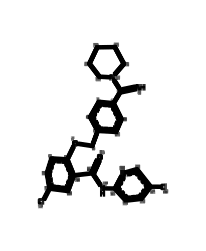 N=C(c1ccc(COc2ccc(Cl)cc2C(=O)Nc2ccc(Cl)cn2)cc1)N1CCCCC1